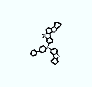 C[Si]1(C)c2cc(N(c3ccc(-c4ccccc4)cc3)c3ccc4sc5ccccc5c4c3)ccc2-c2c1ccc1c2oc2ccccc21